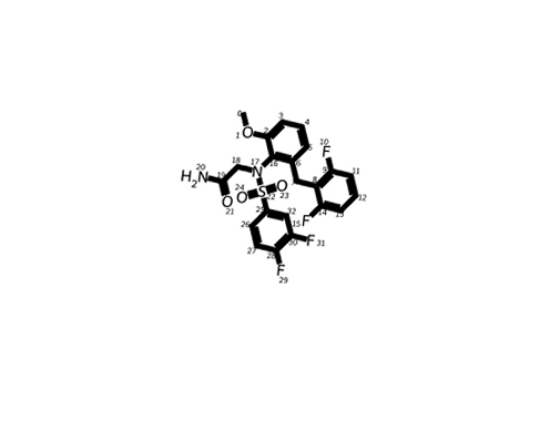 COc1cccc(Cc2c(F)cccc2F)c1N(CC(N)=O)S(=O)(=O)c1ccc(F)c(F)c1